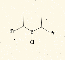 CC(C)C(C)B(Cl)C(C)C(C)C